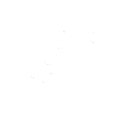 CN1CCN(S(=O)(=O)c2ccc3c(c2)CNCC3)CC1